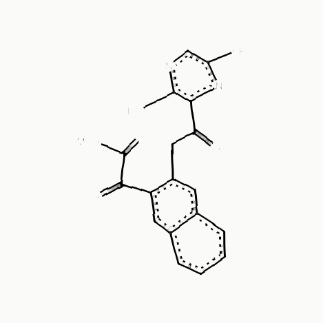 COC(=O)C(=O)c1cc2ccccc2cc1CC(=O)c1nc(C(F)(F)F)cnc1C